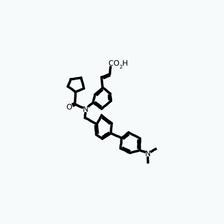 CN(C)c1ccc(-c2ccc(CN(C(=O)C3CCCC3)c3cccc(C=CC(=O)O)c3)cc2)cc1